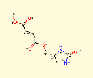 COC(=O)/C=C/C(=O)OC[C@H]1CNC(=O)N1